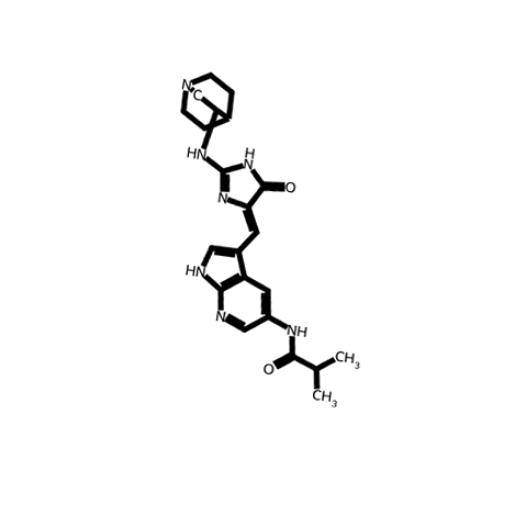 CC(C)C(=O)Nc1cnc2[nH]cc(C=C3N=C(NC4CN5CCC4CC5)NC3=O)c2c1